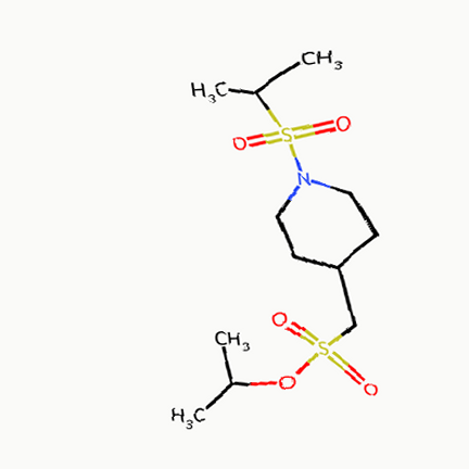 CC(C)OS(=O)(=O)CC1CCN(S(=O)(=O)C(C)C)CC1